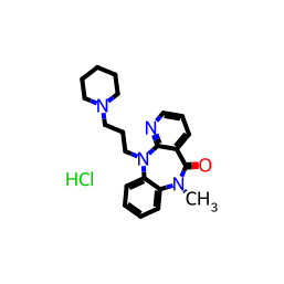 CN1C(=O)c2cccnc2N(CCCN2CCCCC2)c2ccccc21.Cl